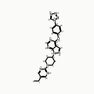 CCc1cnc(N2CCC(n3ncc4c(Oc5ccc(-n6cnnn6)cc5)ncnc43)CC2)nc1